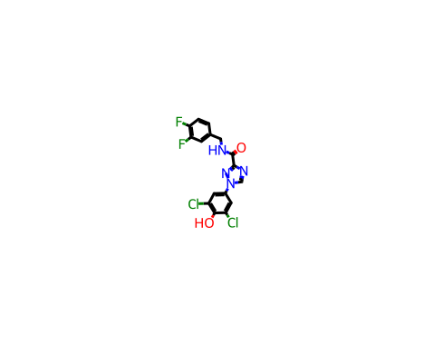 O=C(NCc1ccc(F)c(F)c1)c1ncn(-c2cc(Cl)c(O)c(Cl)c2)n1